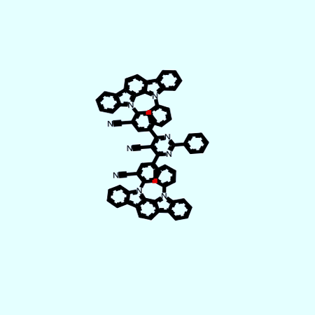 N#Cc1cc(-c2nc(-c3ccccc3)nc(-c3ccc(-n4c5ccccc5c5ccc6c7ccccc7n(-c7ccccc7)c6c54)c(C#N)c3)c2C#N)ccc1-n1c2ccccc2c2ccc3c4ccccc4n(-c4ccccc4)c3c21